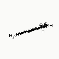 CCC=CCC=CCC=CCC=CCC=CCC=CCCC(=O)NCCC(=O)O